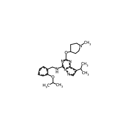 CC(C)Oc1ccccc1CNc1nc(OC2CCN(C)CC2)nc2c(C(C)C)cnn12